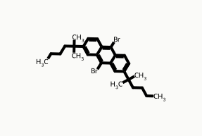 CCCCC(C)(C)c1ccc2c(Br)c3ccc(C(C)(C)CCCC)cc3c(Br)c2c1